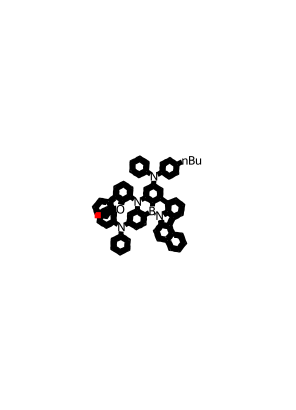 CCCCc1ccc(N(c2ccccc2)c2cc3c4c(c2)N(c2cccc5c2oc2ccccc25)c2cc(N(c5ccccc5)c5ccccc5)ccc2B4n2c4ccc5ccccc5c4c4cccc-3c42)cc1